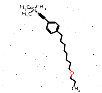 CCCOCCCCCCCCc1ccc(C#C[Si](C)(C)C)cc1